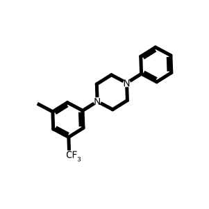 Cc1cc(N2CCN(c3ccccc3)CC2)cc(C(F)(F)F)c1